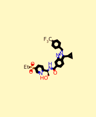 CCS(=O)(=O)c1ccc([C@H](CO)NC(=O)c2ccc3c(C4CC4)n(Cc4ccc(C(F)(F)F)cc4)nc3c2)nc1